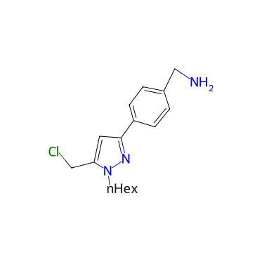 CCCCCCn1nc(-c2ccc(CN)cc2)cc1CCl